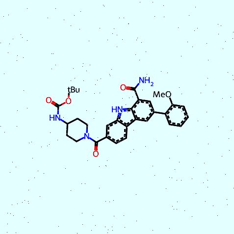 COc1ccccc1-c1cc(C(N)=O)c2[nH]c3cc(C(=O)N4CCC(NC(=O)OC(C)(C)C)CC4)ccc3c2c1